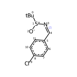 CC(C)(C)[S+]([O-])/N=C\c1ccc(Cl)cc1